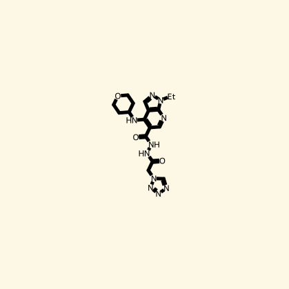 CCn1ncc2c(NC3CCOCC3)c(C(=O)NNC(=O)Cn3cnnn3)cnc21